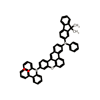 CC1(C)c2ccccc2-c2ccc(N(c3ccccc3)c3ccc4cc5c6c(cccc6c4c3)Oc3cc(N(c4ccccc4)c4ccccc4-c4ccccc4)ccc3-5)cc21